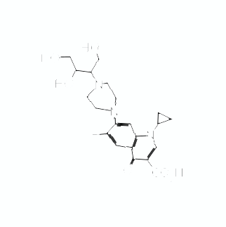 O=C(O)c1cn(C2CC2)c2cc(N3CCN(C(CO)C(O)CO)CC3)c(F)cc2c1=O